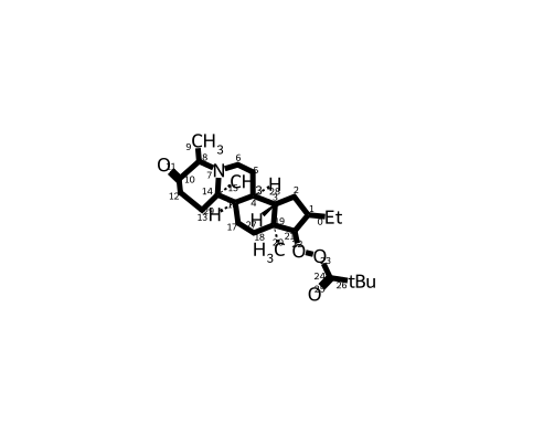 CCC1C[C@H]2[C@@H]3CCN4C(C)C(=O)CC[C@]4(C)[C@@H]3CC[C@]2(C)C1OOC(=O)C(C)(C)C